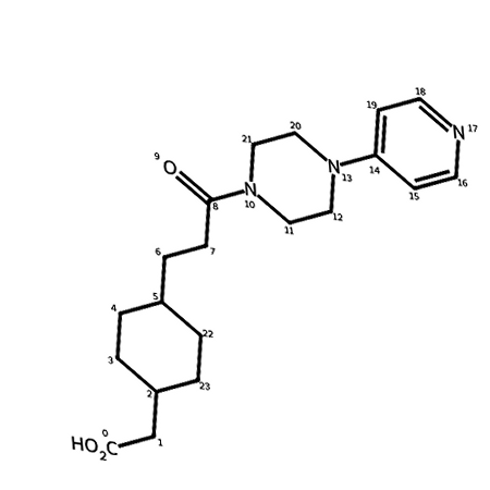 O=C(O)CC1CCC(CCC(=O)N2CCN(c3ccncc3)CC2)CC1